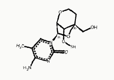 Cc1cn([C@@H]2O[C@@]3(CO)CCOC2C3OS)c(=O)nc1N